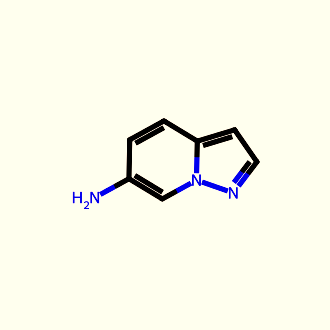 Nc1ccc2ccnn2c1